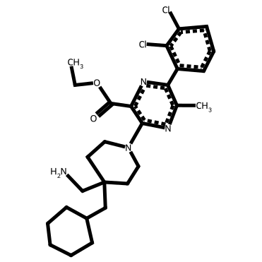 CCOC(=O)c1nc(-c2cccc(Cl)c2Cl)c(C)nc1N1CCC(CN)(CC2CCCCC2)CC1